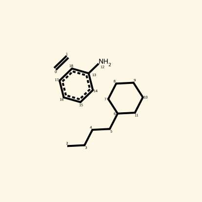 C=C.CCCCC1CCCCC1.Nc1ccccc1